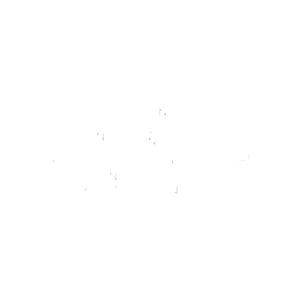 CCOC(=O)c1cnn(-c2ncccn2)c1S